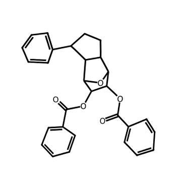 O=C(OC1C2OC(C1OC(=O)c1ccccc1)C1C(c3ccccc3)CCC21)c1ccccc1